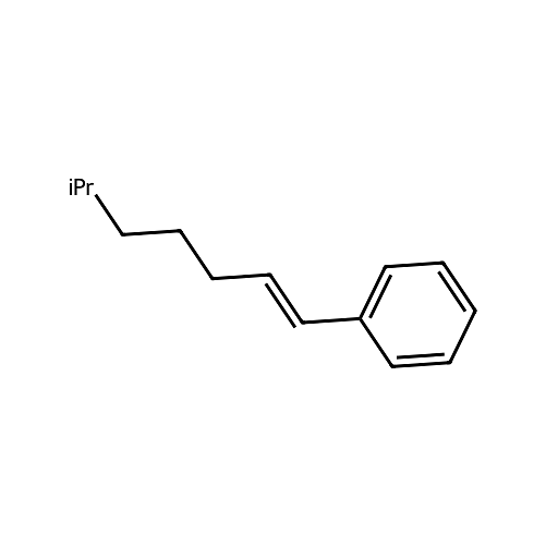 CC(C)CCCC=Cc1ccccc1